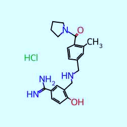 Cc1cc(CNCc2cc(C(=N)N)ccc2O)ccc1C(=O)N1CCCC1.Cl